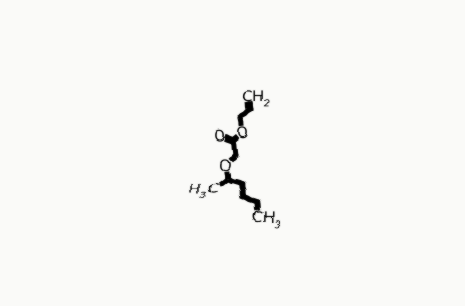 C=CCOC(=O)COC(C)CCCC